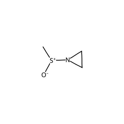 C[S+]([O-])N1CC1